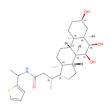 CC(NC(=O)C[C@@H](C)[C@H]1CC[C@H]2[C@@H]3[C@H](O)[C@H](O)[C@@H]4C[C@H](O)CC[C@]4(C)[C@H]3CC[C@]12C)c1cccs1